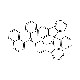 c1ccc(N(c2ccc3c4ccccc4n(C4(c5ccccc5)c5ccccc5-c5ccccc54)c3c2)c2cccc3ccccc23)cc1